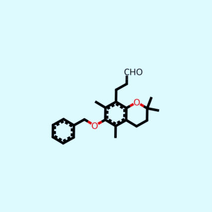 Cc1c(CCC=O)c2c(c(C)c1OCc1ccccc1)CCC(C)(C)O2